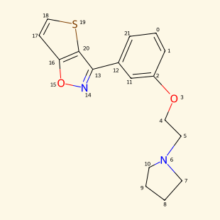 c1cc(OCCN2CCCC2)cc(-c2noc3ccsc23)c1